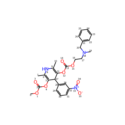 COC(=O)OC1=C(C)NC(C)=C(OC(=O)OCCN(C)Cc2ccccc2)C1c1cccc([N+](=O)[O-])c1